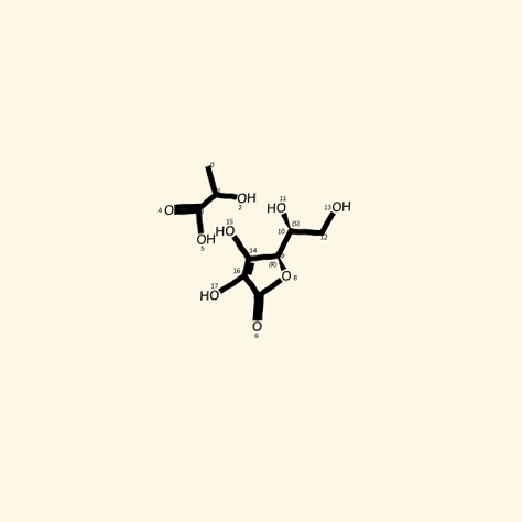 CC(O)C(=O)O.O=C1O[C@H]([C@@H](O)CO)C(O)=C1O